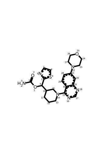 NC(=O)OC(c1nccs1)C1CCCN(c2ncnc3cc(N4CCOCC4)ccc23)C1